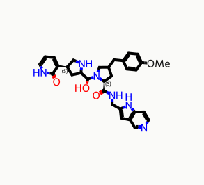 COc1ccc(CC2C[C@@H](C(=O)NCc3cc4cnccc4[nH]3)N(C(O)C3C[C@@H](c4ccc[nH]c4=O)CN3)C2)cc1